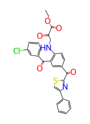 CCOC(=O)C(=O)CNc1ccc(C(=O)c2nc(-c3ccccc3)cs2)cc1C(=O)c1cccc(Cl)c1